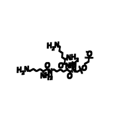 COC(C)(C)CCOC(C)(C)CNC(=O)C(CCCCNC(=O)C(N)CCCCN)NC(=O)C(N)CCCCN